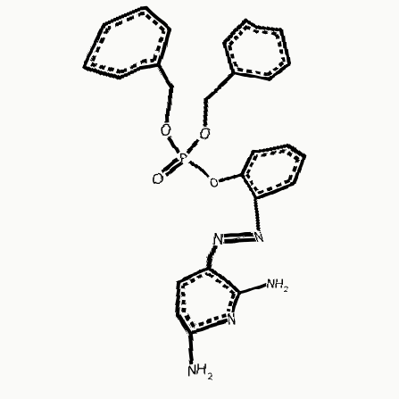 Nc1ccc(N=Nc2ccccc2OP(=O)(OCc2ccccc2)OCc2ccccc2)c(N)n1